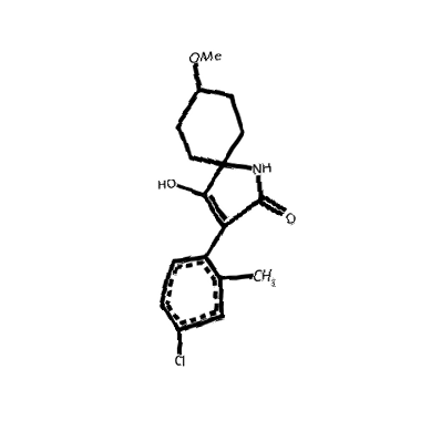 COC1CCC2(CC1)NC(=O)C(c1ccc(Cl)cc1C)=C2O